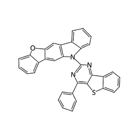 c1ccc(-c2nc(-n3c4ccccc4c4cc5oc6ccccc6c5cc43)nc3c2sc2ccccc23)cc1